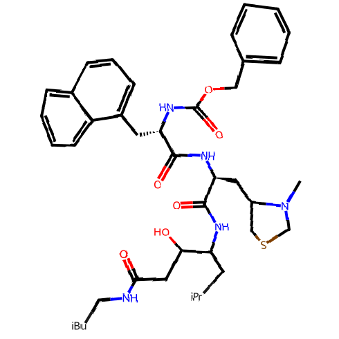 CCC(C)CNC(=O)CC(O)C(CC(C)C)NC(=O)[C@H](CC1CSCN1C)NC(=O)[C@H](Cc1cccc2ccccc12)NC(=O)OCc1ccccc1